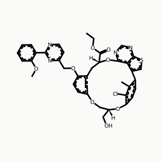 CCOC(=O)[C@H]1Cc2cc(ccc2OCc2ccnc(-c3ccccc3OC)n2)OC[C@@H](CO)Oc2ccc(c(C)c2Cl)-c2csc3ncnc(c23)O1